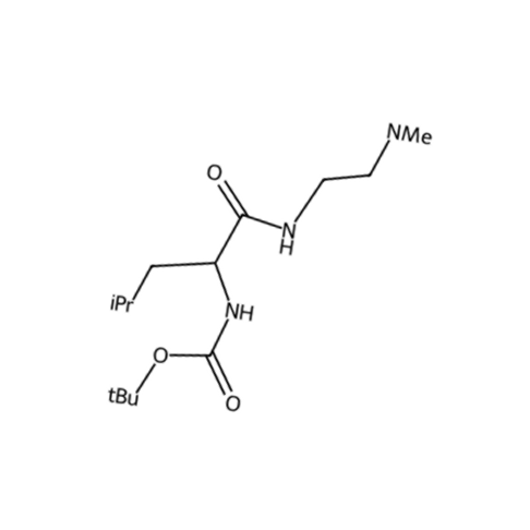 CNCCNC(=O)C(CC(C)C)NC(=O)OC(C)(C)C